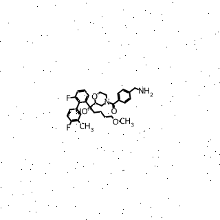 COCCCC[C@@](O)(c1cccc(F)c1-c1ccc(F)c(C)c1)C1CN(C(=O)c2ccc(CN)cc2)CCO1